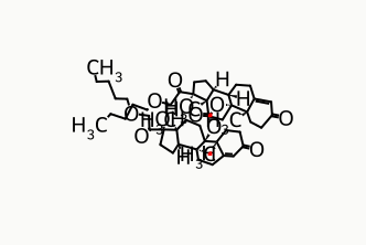 CCCCCOCC(=O)[C@@]1(O)CC[C@H]2[C@@H]3CCC4=CC(=O)CC[C@]4(C)[C@@]3(OC(=O)O[C@]34CC[C@@]5(C)[C@@H](CC[C@]5(O)C(=O)COCCCCC)[C@@H]3CCC3=CC(=O)CC[C@@]34C)CC[C@@]21C